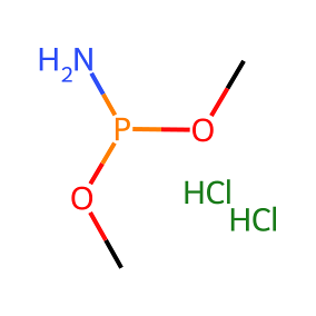 COP(N)OC.Cl.Cl